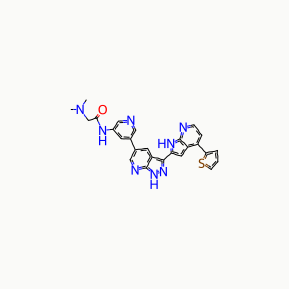 CN(C)CC(=O)Nc1cncc(-c2cnc3[nH]nc(-c4cc5c(-c6cccs6)ccnc5[nH]4)c3c2)c1